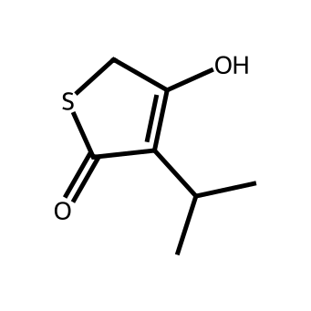 CC(C)C1=C(O)CSC1=O